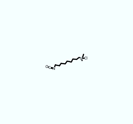 C[Si](C)(Cl)CCCCCCCCCN=C=O